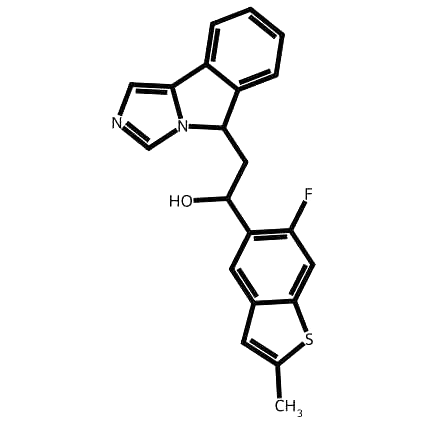 Cc1cc2cc(C(O)CC3c4ccccc4-c4cncn43)c(F)cc2s1